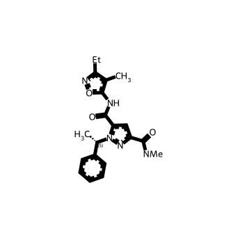 CCc1noc(NC(=O)c2cc(C(=O)NC)nn2[C@@H](C)c2ccccc2)c1C